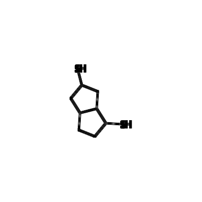 SC1CC2CCC(S)C2C1